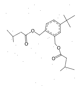 CC(C)CC(=O)OCc1ccc(C(C)(C)C)cc1COC(=O)CC(C)C